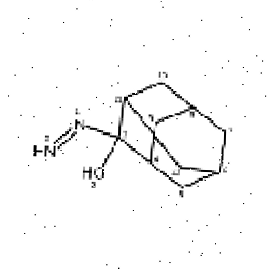 N=NC1(O)C2CC3CC(C2)CC1C3